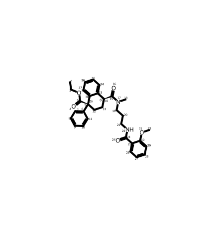 CCOC(=O)[C@]1(c2ccccc2)CC[C@H](C(=O)N(C)CCCNC(=O)c2ccccc2OC)c2ccccc21